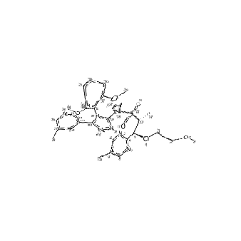 COCCO[C@@H](c1ncc(C)cn1)[C@@H](C)S(=O)(=O)Nc1nnc(-c2cncc(C)c2)n1-c1c(OC)cccc1OC